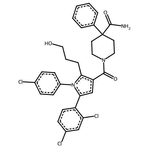 NC(=O)C1(c2ccccc2)CCN(C(=O)c2cc(-c3ccc(Cl)cc3Cl)n(-c3ccc(Cl)cc3)c2CCCO)CC1